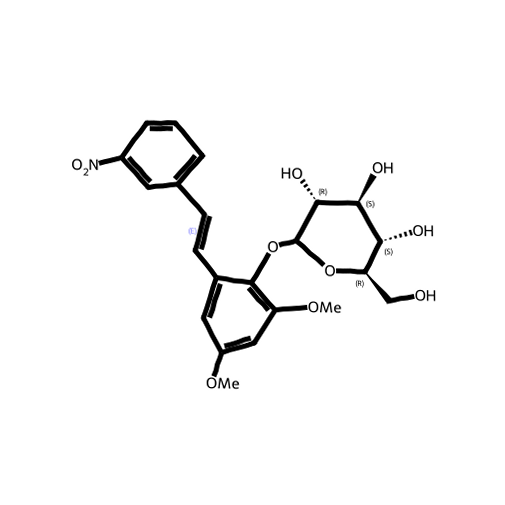 COc1cc(/C=C/c2cccc([N+](=O)[O-])c2)c(OC2O[C@H](CO)[C@@H](O)[C@H](O)[C@H]2O)c(OC)c1